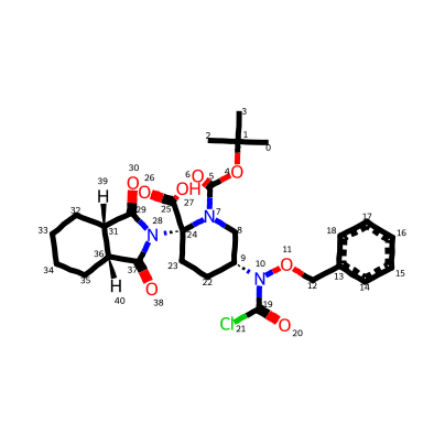 CC(C)(C)OC(=O)N1C[C@H](N(OCc2ccccc2)C(=O)Cl)CC[C@]1(C(=O)O)N1C(=O)[C@H]2CCCC[C@H]2C1=O